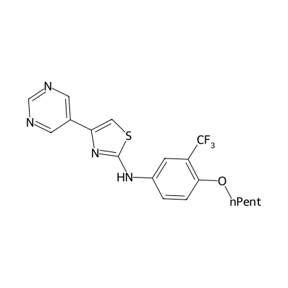 CCCCCOc1ccc(Nc2nc(-c3cncnc3)cs2)cc1C(F)(F)F